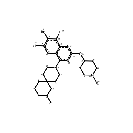 CC1CCCC2(CCN(c3nc(OC4CCN(C(C)C)CC4)nc4c(F)c(Br)c(Cl)cc34)CC2)C1